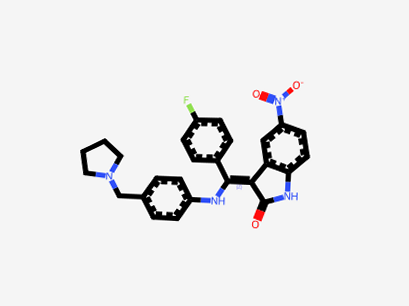 O=C1Nc2ccc([N+](=O)[O-])cc2/C1=C(/Nc1ccc(CN2CCCC2)cc1)c1ccc(F)cc1